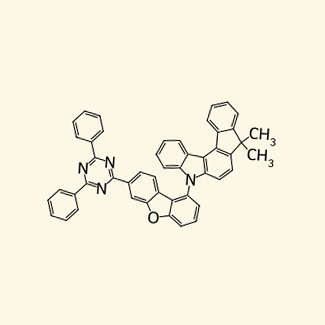 CC1(C)c2ccccc2-c2c1ccc1c2c2ccccc2n1-c1cccc2oc3cc(-c4nc(-c5ccccc5)nc(-c5ccccc5)n4)ccc3c12